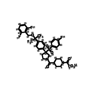 O=C(O)C(=O)N1CCC(C(=O)N2CC[C@](c3ccc(C(OCc4c(F)cccc4F)(C(F)(F)F)C(F)(F)F)cc3)(S(=O)(=O)c3ccc(F)cc3)C2)CC1